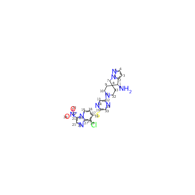 NC1c2ccnn2CC12CCN(c1cnc(Sc3ccn4c([N+](=O)[O-])cnc4c3Cl)cn1)CC2